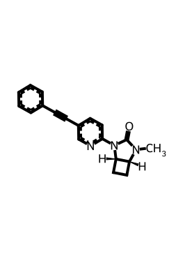 CN1C(=O)N(c2ccc(C#Cc3ccccc3)cn2)[C@H]2CC[C@H]21